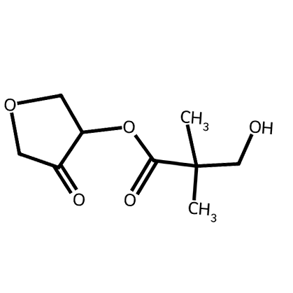 CC(C)(CO)C(=O)OC1COCC1=O